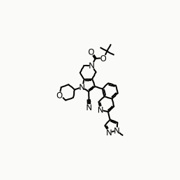 Cn1cc(-c2cc3cccc(-c4c5c(n(C6CCOCC6)c4C#N)CCN(C(=O)OC(C)(C)C)C5)c3cn2)cn1